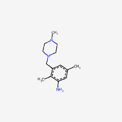 Cc1cc(N)c(C)c(CN2CCN(C)CC2)c1